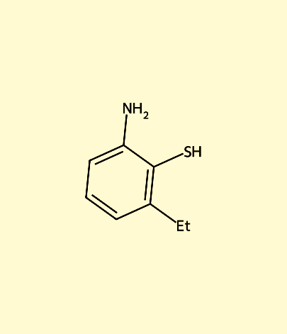 CCc1cccc(N)c1S